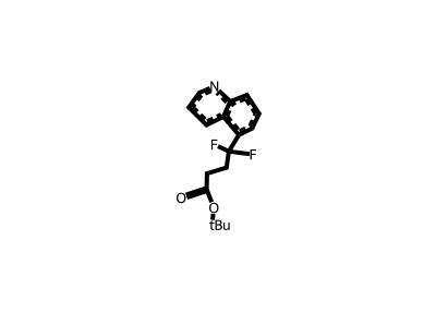 CC(C)(C)OC(=O)CCC(F)(F)c1cccc2ncccc12